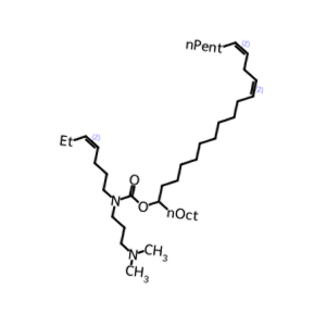 CC/C=C\CCCN(CCCN(C)C)C(=O)OC(CCCCCCCC)CCCCCCCCC/C=C\C/C=C\CCCCC